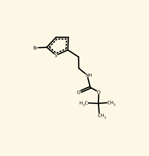 CC(C)(C)OC(=O)NCCc1ccc(Br)s1